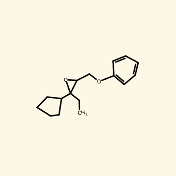 CCC1(C2CCCC2)OC1COc1ccccc1